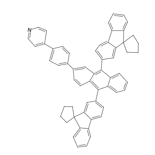 c1ccc2c(c1)-c1ccc(-c3c4ccccc4c(-c4ccc5c(c4)C4(CCCC4)c4ccccc4-5)c4cc(-c5ccc(-c6ccncc6)cc5)ccc34)cc1C21CCCC1